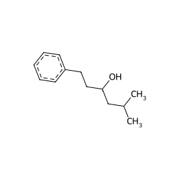 CC(C)C[C](O)CCc1ccccc1